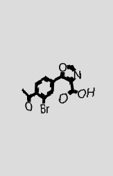 CC(=O)c1ccc(-c2ocnc2C(=O)O)cc1Br